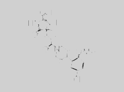 COc1ccc(Cl)cc1C1CCN(C(=O)CCC2(C)NC(O)NC2=O)CC1